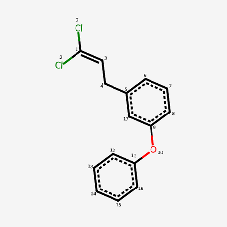 ClC(Cl)=C[CH]c1cccc(Oc2ccccc2)c1